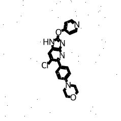 Clc1cc2[nH]c(Oc3ccncc3)nc2nc1-c1ccc(N2CCOCC2)cc1